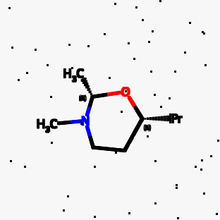 CC(C)[C@@H]1CCN(C)[C@H](C)O1